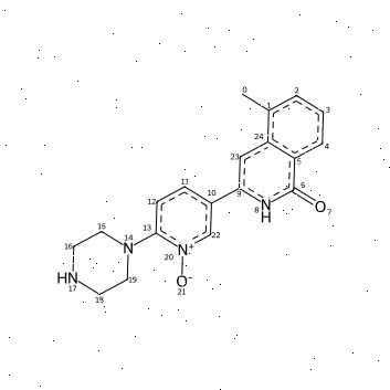 Cc1cccc2c(=O)[nH]c(-c3ccc(N4CCNCC4)[n+]([O-])c3)cc12